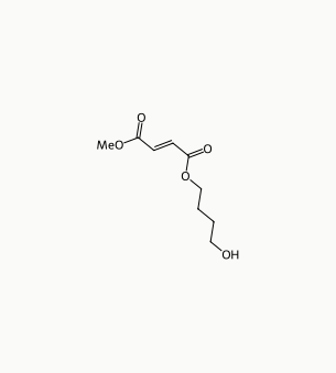 COC(=O)C=CC(=O)OCCCCO